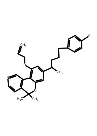 C=CCOc1cc(C(C)CCCc2ccc(F)cc2)cc2c1-c1cnccc1C(C)(C)O2